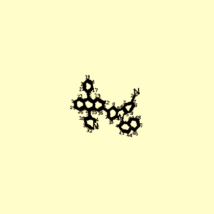 N#Cc1ccc2c(c1)c1cc(-c3ccc4c(-c5ccccc5)c5ccccc5c(-c5cccnc5)c4c3)ccc1n2-c1cccc2ccccc12